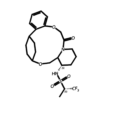 C[C@@H](C(F)(F)F)S(=O)(=O)N[C@H]1CCCN2C(=O)COc3ccccc3C3CCC(CC3)OCC12